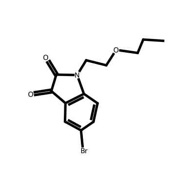 CCCOCCN1C(=O)C(=O)c2cc(Br)ccc21